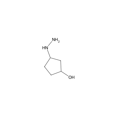 NNC1CCC(O)C1